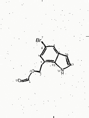 O=COCc1cc(Br)cc2cc[nH]c12